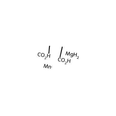 CC(=O)O.CC(=O)O.[MgH2].[Mn]